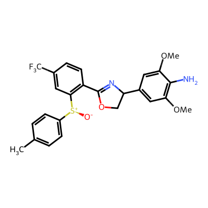 COc1cc(C2COC(c3ccc(C(F)(F)F)cc3[S@@+]([O-])c3ccc(C)cc3)=N2)cc(OC)c1N